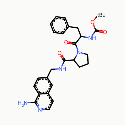 CC(C)(C)OC(=O)NC(Cc1ccccc1)C(=O)N1CCCC1C(=O)NCc1ccc2c(N)nccc2c1